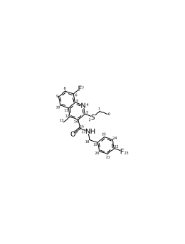 CCSc1nc2c(F)cccc2c(C)c1C(=O)NCc1ccc(F)cc1